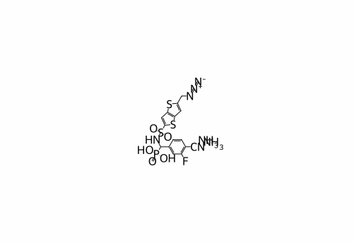 N.N.N#Cc1ccc(C(NS(=O)(=O)c2cc3sc(CN=[N+]=[N-])cc3s2)P(=O)(O)O)cc1F